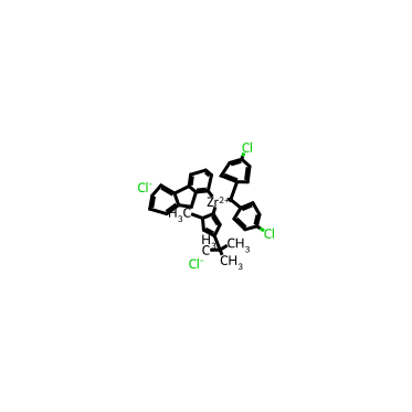 CC1C=C(C(C)(C)C)C=[C]1[Zr+2](=[C](c1ccc(Cl)cc1)c1ccc(Cl)cc1)[c]1cccc2c1Cc1ccccc1-2.[Cl-].[Cl-]